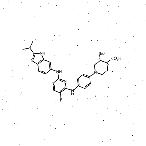 CN(C)c1nc2ccc(Nc3ncc(F)c(Nc4ccc(N5CCN(C(=O)O)C(C(C)(C)C)C5)cc4)n3)cc2[nH]1